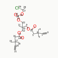 C#CC(C)(C)CC(=O)OCC(C)(COC(=O)CC(C)(C)C#C)COC(=O)OC(C)Cl